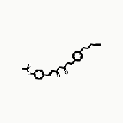 C#CCCCc1ccc(C=CC(=O)CC(=O)C=Cc2ccc(OC(C)=O)cc2)cc1